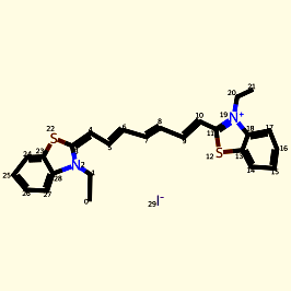 CCN1C(=CC=CC=CC=Cc2sc3ccccc3[n+]2CC)Sc2ccccc21.[I-]